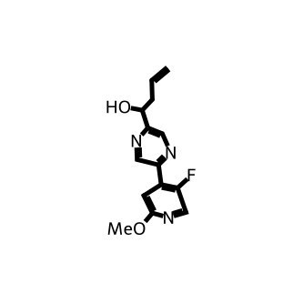 C=CCC(O)c1cnc(-c2cc(OC)ncc2F)cn1